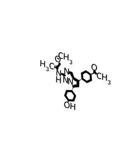 COC[C@H](C)Nc1ncc2c([C@H]3CC[C@H](C(C)=O)CC3)cc([C@H]3CC[C@H](O)CC3)n2n1